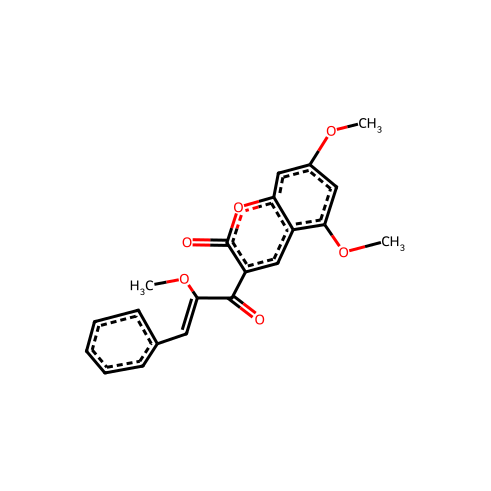 CO/C(=C\c1ccccc1)C(=O)c1cc2c(OC)cc(OC)cc2oc1=O